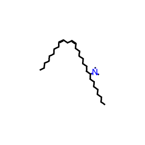 CCCCCCCC/C=C\C/C=C\CCCCCCCC(CCCCCCCC)N(C)C